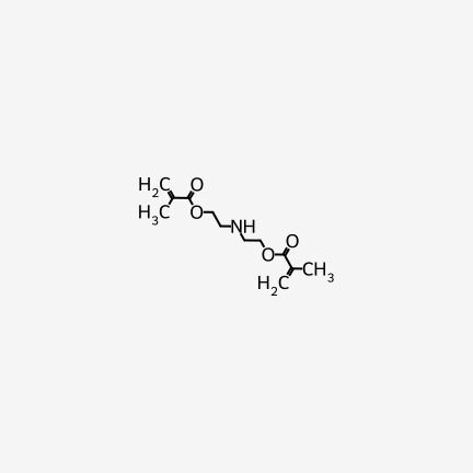 C=C(C)C(=O)OCCNCCOC(=O)C(=C)C